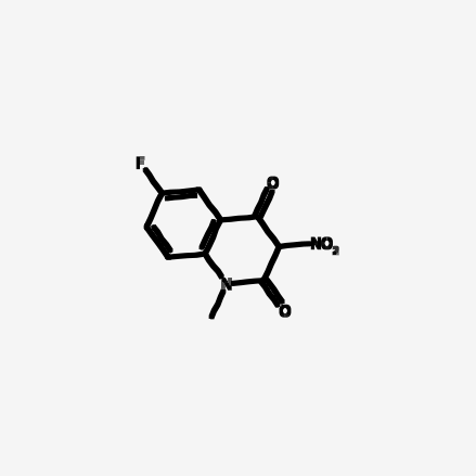 CN1C(=O)C([N+](=O)[O-])C(=O)c2cc(F)ccc21